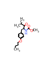 CCCCOc1ccc(C[C@H](NC(=O)OC)C(=O)C(C)C)cc1